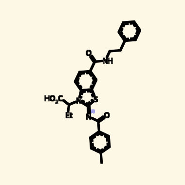 CCC(C(=O)O)n1/c(=N/C(=O)c2ccc(C)cc2)sc2cc(C(=O)NCCc3ccccc3)ccc21